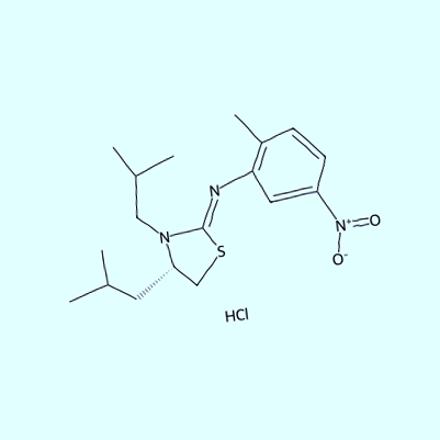 Cc1ccc([N+](=O)[O-])cc1N=C1SC[C@H](CC(C)C)N1CC(C)C.Cl